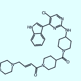 O=C(/C=C/CN1CCOCC1)N1CCC(C(=O)N2CCC(Nc3ncc(Cl)c(-c4c[nH]c5ccccc45)n3)CC2)CC1